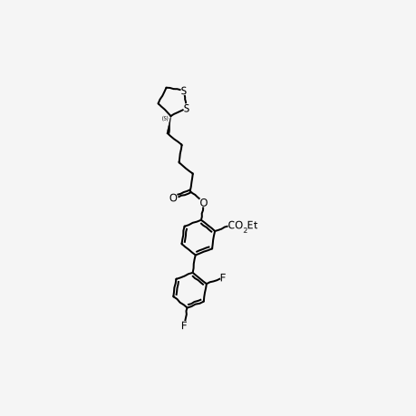 CCOC(=O)c1cc(-c2ccc(F)cc2F)ccc1OC(=O)CCCC[C@H]1CCSS1